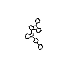 c1ccc(-c2ccc(-c3sc(-c4cccc5c4c4ccccc4n5-c4ccccc4)c4ccccc34)cc2)cc1